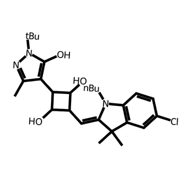 CCCCN1C(=CC2C(O)C(c3c(C)nn(C(C)(C)C)c3O)C2O)C(C)(C)c2cc(Cl)ccc21